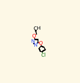 C#CCOc1cc(Oc2ccc(Cl)cc2)ncn1